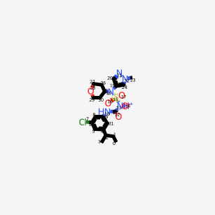 CCC(C)c1cc(Cl)cc(NC(=O)[NH+]([O-])S(=O)(=O)N(c2cnn(C)c2)C2CCOCC2)c1